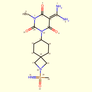 CCCCN1C(=O)C(=C(N)N)C(=O)N(C2CCC3(CC2)CN(S(C)(=N)=O)C3)C1=O